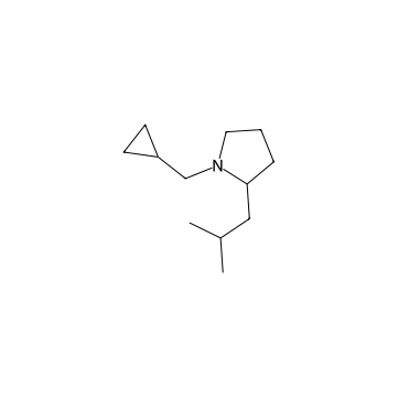 CC(C)CC1CCCN1CC1CC1